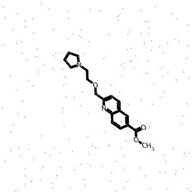 COC(=O)c1ccc2nc(COCCN3CCCC3)ccc2c1